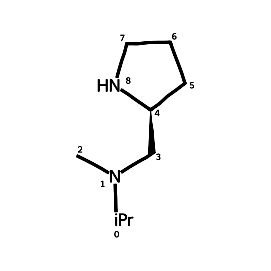 CC(C)N(C)C[C@@H]1CCCN1